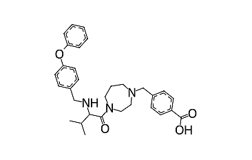 CC(C)C(NCc1ccc(Oc2ccccc2)cc1)C(=O)N1CCCN(Cc2ccc(C(=O)O)cc2)CC1